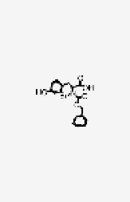 O=C(O)[C@H](Cc1ccc(O)cc1)N(Br)C(=O)OCc1ccccc1